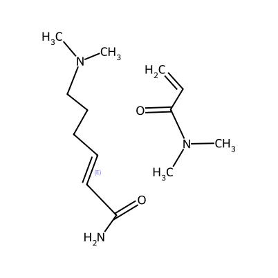 C=CC(=O)N(C)C.CN(C)CCC/C=C/C(N)=O